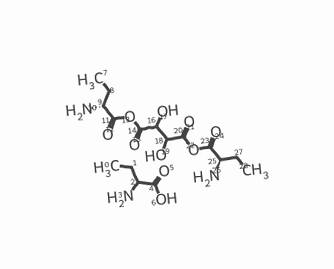 CCC(N)C(=O)O.CC[C@@H](N)C(=O)OC(=O)C(O)C(O)C(=O)OC(=O)[C@H](N)CC